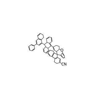 N#CC1=CC2=C(CC1)C1=C(CCC=C1)C21c2ccccc2OC2CCC(C3=C4C=CC=CC4C(c4cc(-c5ccccc5)cc5c4CCC=C5)C4C=CC=CC34)=CC21